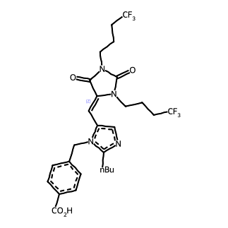 CCCCc1ncc(/C=C2/C(=O)N(CCCC(F)(F)F)C(=O)N2CCCC(F)(F)F)n1Cc1ccc(C(=O)O)cc1